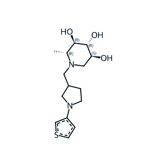 C[C@@H]1[C@@H](O)[C@H](O)[C@@H](O)CN1CC1CCN(c2ccsc2)C1